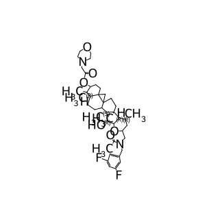 CC(=O)N(Cc1cc(F)cc(F)c1)CC1C[C@@H](C)[C@H]2C(O1)[C@H](O)[C@@]1(C)C3CC[C@H]4C(C)(C)C(OC(=O)CN5CCOCC5)CCC45CC35CCC21C